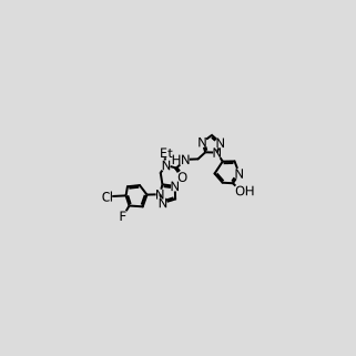 CCN(Cc1ncnn1-c1ccc(Cl)c(F)c1)C(=O)NCc1ncnn1-c1ccc(O)nc1